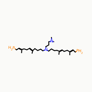 C/C(=C\CP)CC/C=C(\C)CCCCN(CCCC/C(C)=C/CC/C(C)=C/CP)CCCN(C)C